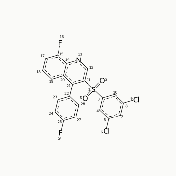 O=S(=O)(c1cc(Cl)cc(Cl)c1)c1cnc2c(F)cccc2c1-c1ccc(F)cc1